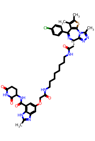 Cc1nc2cc(OCC(=O)NCCCCCCCCNC(=O)C[C@@H]3N=C(c4ccc(Cl)cc4)c4c(sc(C)c4C)-n4c(C)nnc43)cc(C(=O)NC3CCC(=O)NC3=O)c2[nH]1